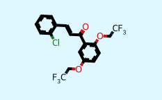 O=C(/C=C/c1ccccc1Cl)c1cc(OCC(F)(F)F)ccc1OCC(F)(F)F